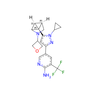 Nc1ncc(-c2cc([C@@]34C5[C@H]3[C@H]4CN5C3COC3)n(C3CC3)n2)cc1C(F)(F)F